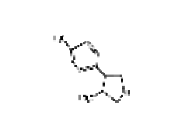 Cc1ccc(C2CNCC2C(=O)O)cc1